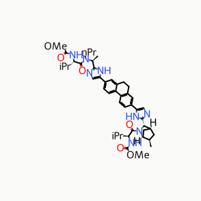 CCCN(C(=O)[C@@H](NC(=O)OC)C(C)C)[C@@H](C)c1ncc(-c2ccc3c(c2)CCc2cc(-c4cnc([C@@H]5[C@H]6C[C@@H](C)[C@H](C6)N5C(=O)[C@@H](NC(=O)OC)C(C)C)[nH]4)ccc2-3)[nH]1